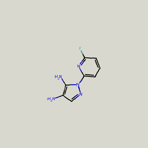 Nc1cnn(-c2cccc(F)n2)c1N